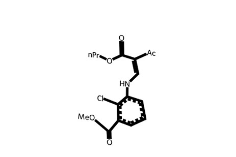 CCCOC(=O)C(=CNc1cccc(C(=O)OC)c1Cl)C(C)=O